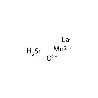 [La].[Mn+2].[O-2].[SrH2]